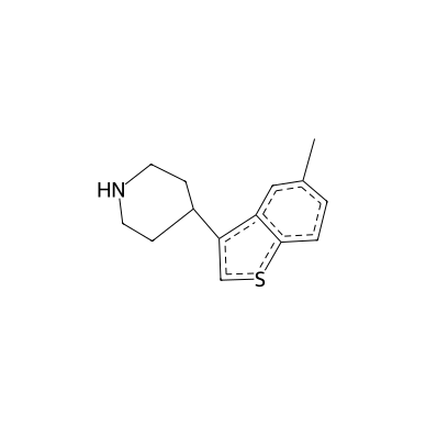 Cc1ccc2scc(C3CCNCC3)c2c1